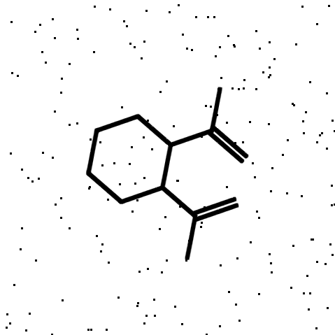 C=C(C)C1CCCCC1C(=C)C